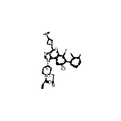 C=CC(=O)N1CC[C@H](n2cnc3c(N4CC(N(C)C)C4)nc4c(F)c(-c5cccc(C)c5C)c(Cl)cc4c32)C[C@H]1CC#N